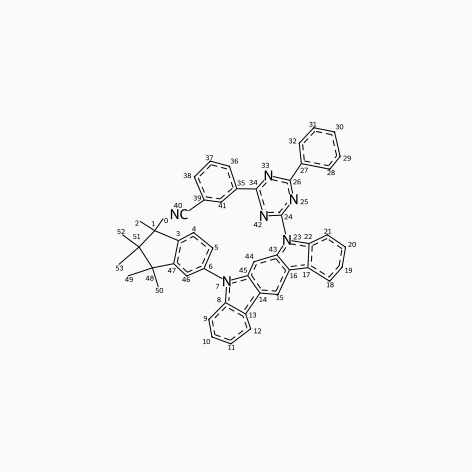 CC1(C)c2ccc(-n3c4ccccc4c4cc5c6ccccc6n(-c6nc(-c7ccccc7)nc(-c7cccc(C#N)c7)n6)c5cc43)cc2C(C)(C)C1(C)C